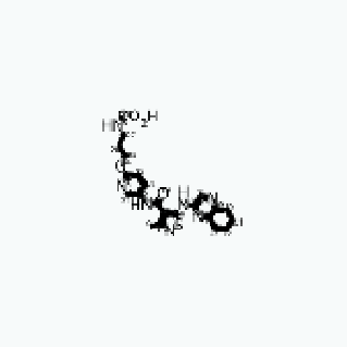 Cc1nsc(Nc2cnc3ccccc3n2)c1C(=O)Nc1ccc(OCCCNC(=O)O)nc1